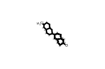 CC1CCC2CC(c3ccc4cc(Cl)ccc4c3)CCC2C1